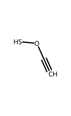 C#COS